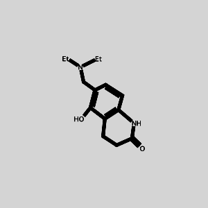 CCN(CC)Cc1ccc2c(c1O)CCC(=O)N2